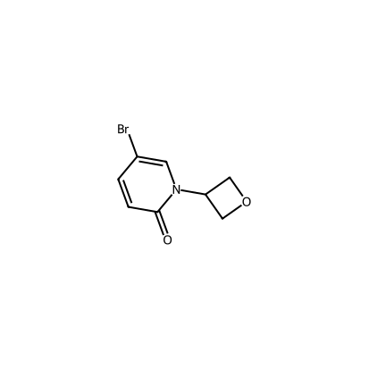 O=c1ccc(Br)cn1C1COC1